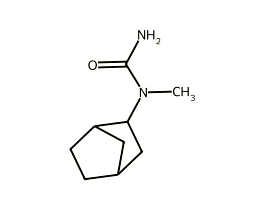 CN(C(N)=O)C1CC2CCC1C2